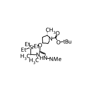 CC[Si](CC)(CC)C(C)N(C)/C(=C\NNC)O[C@@H]1C[C@H](C)N(C(=O)OC(C)(C)C)C1